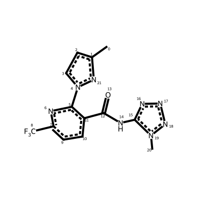 Cc1ccn(-c2nc(C(F)(F)F)ccc2C(=O)Nc2nnnn2C)n1